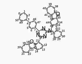 c1ccc(-c2ccc(-c3nc(-c4cccc5c4oc4ccccc45)nc(-n4c5ccccc5c5cc6oc7ccccc7c6cc54)n3)cc2)cc1